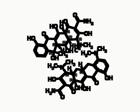 CN(C)[C@@H]1C(O)=C(C(N)=O)C(=O)[C@@]2(O)C(O)=C3C(=O)c4c(O)cccc4[C@@](C)(O)[C@H]3[C@H](O)[C@@H]12.CN(C)c1ccc(O)c2c1C[C@H]1C[C@H]3[C@H](N(C)C)C(O)=C(C(N)=O)C(=O)[C@@]3(O)C(O)=C1C2=O